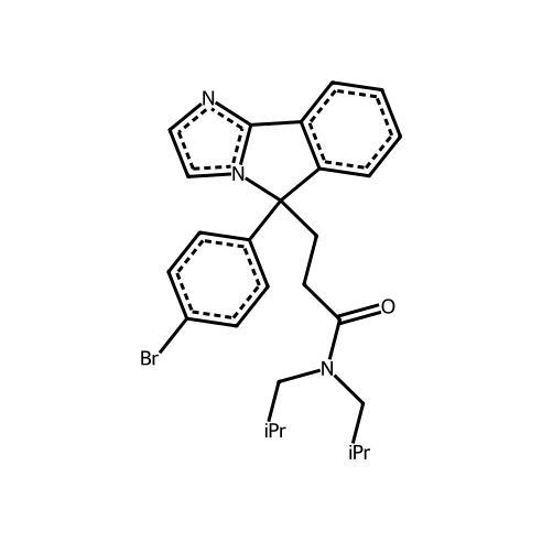 CC(C)CN(CC(C)C)C(=O)CCC1(c2ccc(Br)cc2)c2ccccc2-c2nccn21